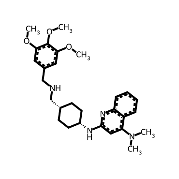 COc1cc(CNC[C@H]2CC[C@@H](Nc3cc(N(C)C)c4ccccc4n3)CC2)cc(OC)c1OC